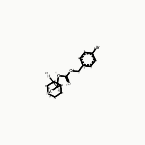 O=C(OCc1ccc(Br)cc1)O[C@H]1CN2CCC1CC2